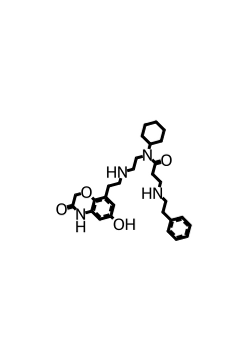 O=C1COc2c(CCNCCN(C(=O)CCNCCc3ccccc3)C3CCCCC3)cc(O)cc2N1